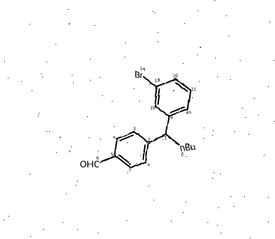 CCCCC(c1ccc(C=O)cc1)c1cccc(Br)c1